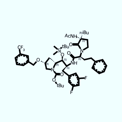 CC[C@@H](C)[C@@]1(NC(C)=O)CCN([C@@H](CCc2ccccc2)C(=O)N[C@@H](Cc2cc(F)cc(F)c2)[C@H](O[Si](C)(C)C(C)(C)C)[C@H]2C[C@@H](OCc3cccc(C(F)(F)F)c3)CN2C(=O)OC(C)(C)C)C1=O